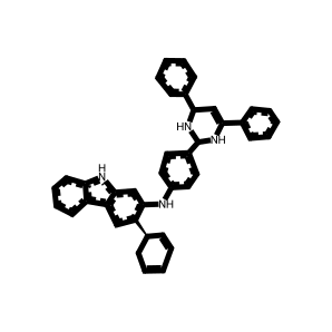 C1=CC[C@@H](c2cc3c(cc2Nc2ccc(C4NC(c5ccccc5)=CC(c5ccccc5)N4)cc2)[nH]c2ccccc23)C=C1